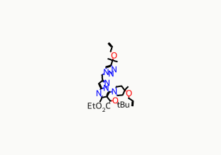 C=CCOC1(C)CCN(c2c([C@H](OC(C)(C)C)C(=O)OCC)c(C)nc3cc(Cn4cc(C(C)(C)OCC=C)nn4)nn23)CC1